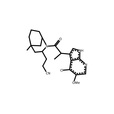 COc1cnc2[nH]cc(C(C)C(=O)N3C(CCC#N)CC4(C)CCCC3C4)c2c1Cl